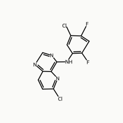 Fc1cc(F)c(Nc2ncnc3ccc(Cl)nc23)cc1Cl